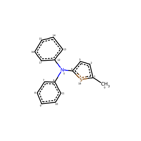 Cc1ccc(N(c2ccccc2)c2ccccc2)s1